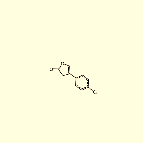 O=C1CC(c2ccc(Cl)cc2)=CO1